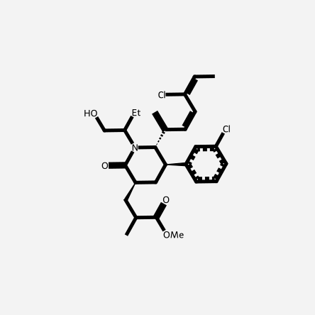 C=C(/C=C\C(Cl)=C/C)[C@@H]1[C@@H](c2cccc(Cl)c2)C[C@@H](CC(C)C(=O)OC)C(=O)N1C(CC)CO